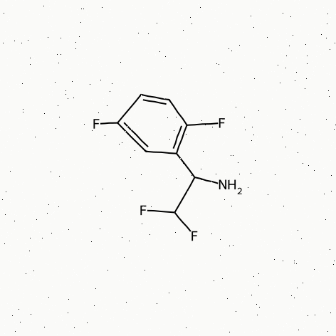 NC(c1cc(F)ccc1F)C(F)F